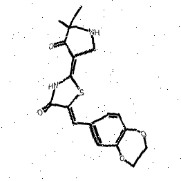 CC1(C)NC/C(=c2/[nH]c(=O)/c(=C/c3ccc4c(c3)OCCO4)s2)C1=O